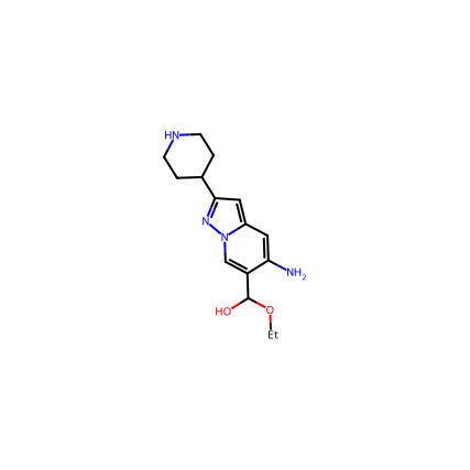 CCOC(O)c1cn2nc(C3CCNCC3)cc2cc1N